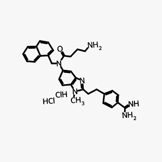 Cl.Cl.Cn1c(CCc2ccc(C(=N)N)cc2)nc2cc(N(Cc3cccc4ccccc34)C(=O)CCCN)ccc21